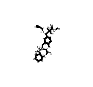 C#CCO[C@@H](c1ccc(C)c(CN2C[C@@H](C)Oc3ccccc3S2(=O)=O)c1)C(C)(C)C(=O)OC